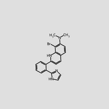 CN(C)c1ccc2c(c1Br)NC(c1ccccc1-c1ncc[nH]1)=C=C2